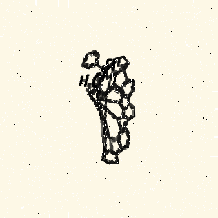 C[Si](C)(CC12C3=CCC4c5ccc6c7ccc8c9ccc%10c%11ccc3c3c1c1c%12c(c5c6c5c7c8c6c9c%10c(c3%11)c1c6c%125)C42)c1ccccc1